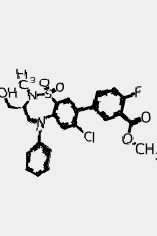 COC(=O)c1cc(-c2cc3c(cc2Cl)N(c2ccccc2)C[C@@H](CO)N(C)S3(=O)=O)ccc1F